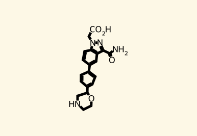 NC(=O)c1nn(CC(=O)O)c2ccc(-c3ccc(C4CNCCO4)cc3)cc12